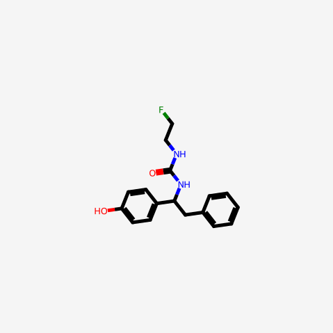 O=C(NCCF)NC(Cc1ccccc1)c1ccc(O)cc1